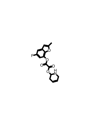 Cc1cc2cc(F)cc(OC(=O)C(=O)OC3CC=CCN3)c2o1